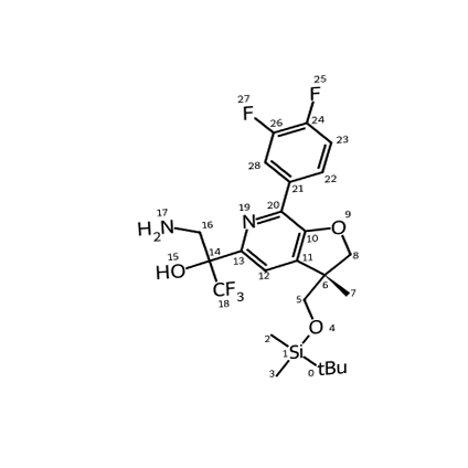 CC(C)(C)[Si](C)(C)OC[C@@]1(C)COc2c1cc(C(O)(CN)C(F)(F)F)nc2-c1ccc(F)c(F)c1